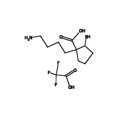 NCCCCC1(C(=O)O)CCCC1S.O=C(O)C(F)(F)F